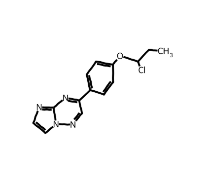 CCC(Cl)Oc1ccc(-c2cnn3ccnc3n2)cc1